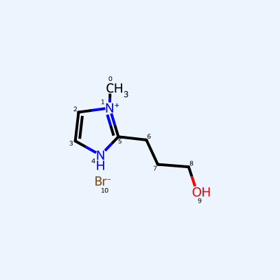 C[n+]1cc[nH]c1CCCO.[Br-]